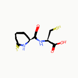 O=C(O)[C@H](CS)NC(=O)[C@@H]1CCC(=S)N1